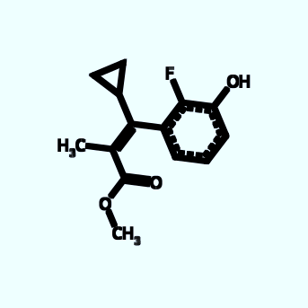 COC(=O)C(C)=C(c1cccc(O)c1F)C1CC1